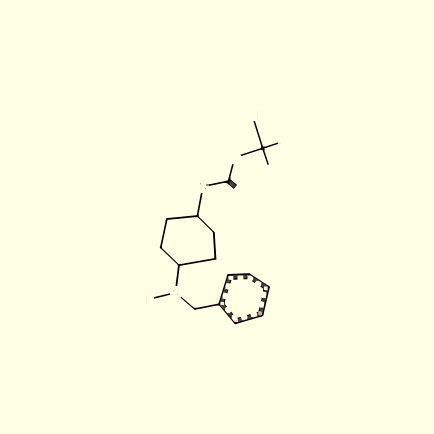 BN(Cc1ccccc1)C1CCC(NC(=O)OC(C)(C)C)CC1